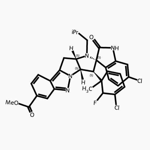 COC(=O)c1ccc2c3n(nc2c1)[C@H]1[C@H](C2(C)C=CC=C(Cl)C2F)[C@]2(C(=O)Nc4cc(Cl)ccc42)N(CC(C)C)[C@H]1C3